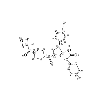 CN(C(=O)Oc1ccc(F)cc1)[C@@H]1CN(C(=O)C2CCN(C(=O)C3(C)COC3)CC2)C[C@H]1c1ccc(F)cc1